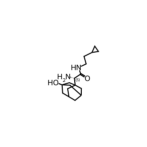 N[C@H](C(=O)NCCC1CC1)C12CC3CC(CC(O)(C3)C1)C2